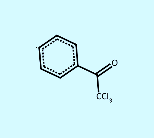 O=C(c1cc[c]cc1)C(Cl)(Cl)Cl